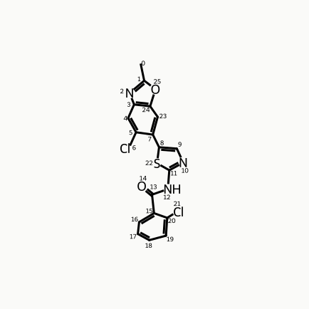 Cc1nc2cc(Cl)c(-c3cnc(NC(=O)c4ccccc4Cl)s3)cc2o1